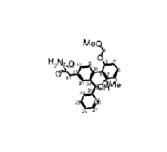 COCOc1cccc(OC)c1-c1ccc(CS(N)(=O)=O)cc1C(O)c1ccccn1